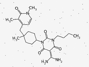 CCCCN1C(=O)C(=C(N)N)C(=O)N(C2CCC(C)(Cc3ccn(C)c(=O)c3C)CC2)C1=O